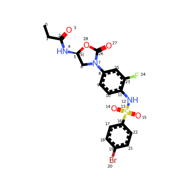 CCC(=O)N[C@@H]1CN(c2ccc(NS(=O)(=O)c3ccc(Br)cc3)c(F)c2)C(=O)O1